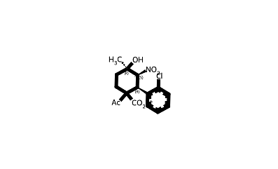 CCOC(=O)C1(C(C)=O)CC[C@@](C)(O)[C@@H]([N+](=O)[O-])[C@H]1c1ccccc1Cl